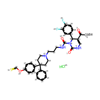 COC(=O)C1=CNC(=O)N(C(=O)NCCCN2CCC(c3ccccc3)(c3ccc(OC=S)cc3)CC2)C1c1ccc(F)c(F)c1.Cl